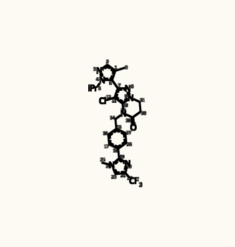 Cc1cnn(C(C)C)c1-c1nn2c(c1Cl)N(Cc1ccc(-c3nc(C(F)(F)F)cn3C)cc1)C(=O)CC2